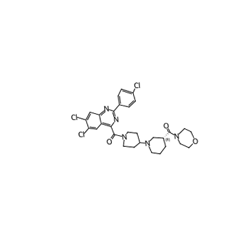 O=C(c1nc(-c2ccc(Cl)cc2)nc2cc(Cl)c(Cl)cc12)N1CCC(N2CCC[C@@H](C(=O)N3CCOCC3)C2)CC1